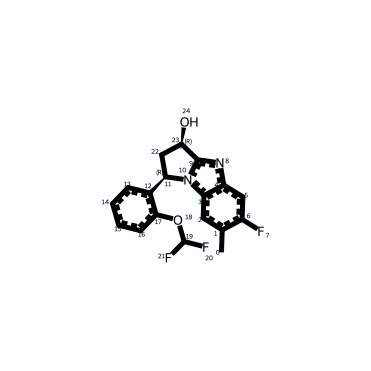 Cc1cc2c(cc1F)nc1n2[C@@H](c2ccccc2OC(F)F)C[C@H]1O